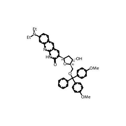 CCN(CC)c1ccc2cc3cc([C@H]4C[C@H](O)[C@@H](COC(c5ccccc5)(c5ccc(OC)cc5)c5ccc(OC)cc5)O4)c(=O)[nH]c3nc2c1